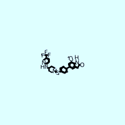 COc1cc(-c2ccc(SN3CCC(Nc4ccc(C(F)(F)F)cn4)CC3)cc2)cc2c1NC(=O)C2